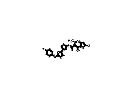 CN1Sc2cc(Cl)sc2C(O)=C1C(=O)Nc1nc(-c2ccc(Oc3ccc(F)cc3)o2)cs1